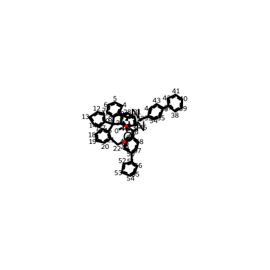 CN1C(c2ccccc2C2(c3ccccc3)c3ccccc3CCOc3ccccc32)=NC(c2ccc(-c3ccccc3)cc2)=NC1c1ccc(-c2ccccc2)cc1